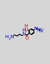 [N-]=[N+]=Nc1ccc(C(=O)NCCCCN)c(O)c1